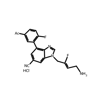 CC(=O)c1ccc(F)c(-c2cc(C#N)cc3c2ncn3CC(F)=CCN)c1.Cl